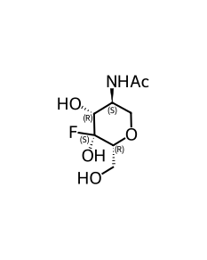 CC(=O)N[C@H]1CO[C@H](CO)[C@@](O)(F)[C@@H]1O